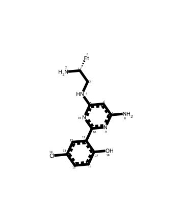 CC[C@@H](N)CNc1cc(N)nc(-c2cc(Cl)ccc2O)n1